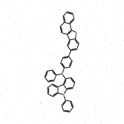 c1ccc(N(c2ccc(-c3ccc4sc5c6ccccc6ccc5c4c3)cc2)c2cccc3c2c2ccccc2n3-c2ccccc2)cc1